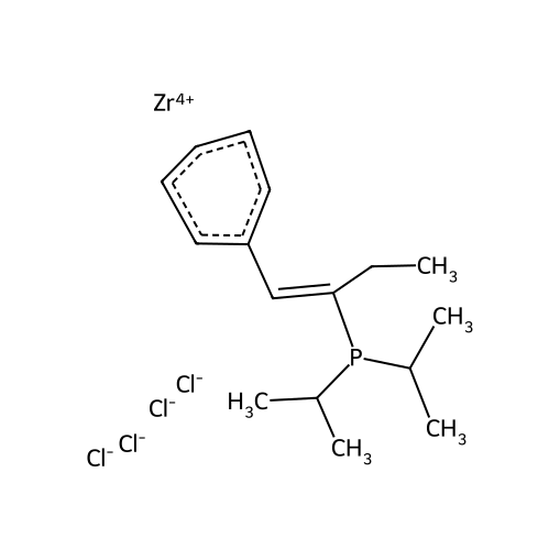 CCC(=Cc1ccccc1)P(C(C)C)C(C)C.[Cl-].[Cl-].[Cl-].[Cl-].[Zr+4]